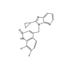 O=c1cc(Cn2c(C3CC3)nc3cccnc32)c2ccc(F)c(F)c2[nH]1